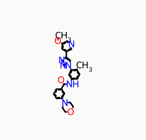 COc1cncc(-c2cn(-c3cc(NC(=O)c4cccc(N5CCOCC5)c4)ccc3C)nn2)c1